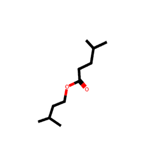 CC(C)CCOC(=O)CCC(C)C